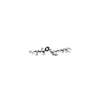 CCNCCNC(=O)c1cccc(OCC(N=[N+]=[N-])OCCOCC(=O)OC(C)C)c1